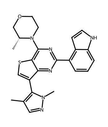 Cc1cnn(C)c1-c1csc2c(N3CCOC[C@H]3C)nc(-c3cccc4[nH]ccc34)nc12